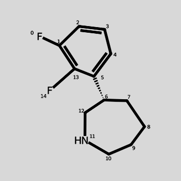 Fc1cccc([C@@H]2CCCCNC2)c1F